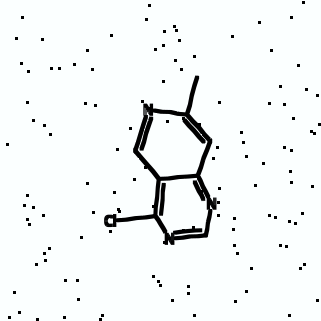 Cc1cc2ncnc(Cl)c2cn1